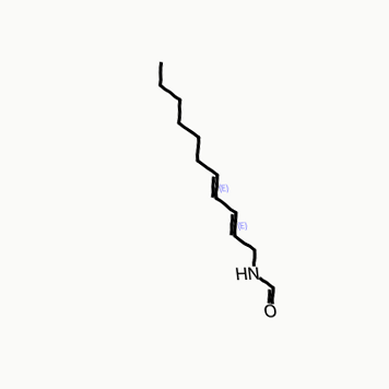 CCCCCC/C=C/C=C/CNC=O